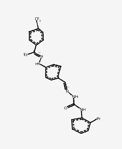 CC/C(=N\Nc1ccc(/C=N/NC(=O)Nc2ccccc2C(C)C)cc1)c1ccc(C(F)(F)F)cc1